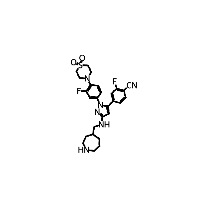 N#Cc1ccc(-c2cc(NCC3CCCNCC3)nn2-c2ccc(N3CCS(=O)(=O)CC3)c(F)c2)cc1F